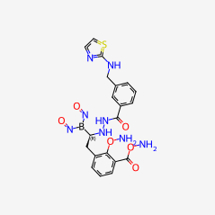 NOC(=O)c1cccc(C[C@H](NNC(=O)c2cccc(CNc3nccs3)c2)B(N=O)N=O)c1ON